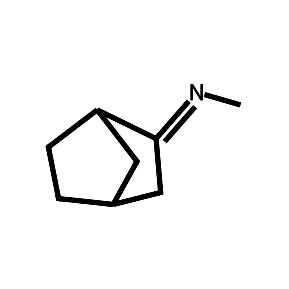 C/N=C1\CC2CCC1C2